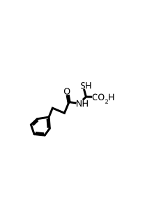 O=C(CCc1ccccc1)NC(S)C(=O)O